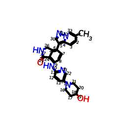 Cc1ccc2c(-c3ccc(Nc4ccc(N5CCC(O)CC5)cn4)c4c3CNC4=O)cnn2c1